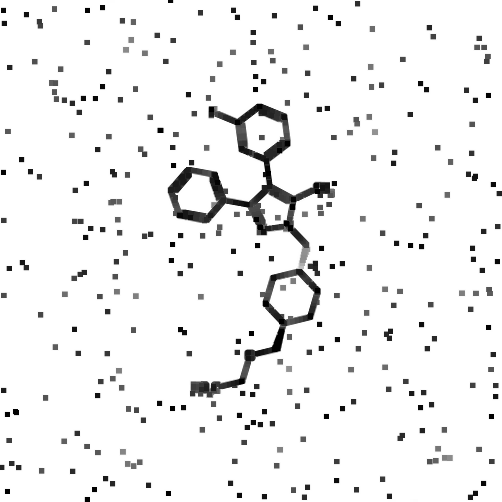 Cc1c(-c2cccc(F)c2)c(-c2ccccc2)nn1C[C@H]1CC[C@H](COCC(=O)O)CC1